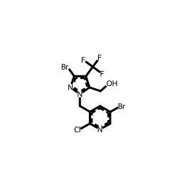 OCc1c(C(F)(F)F)c(Br)nn1Cc1cc(Br)cnc1Cl